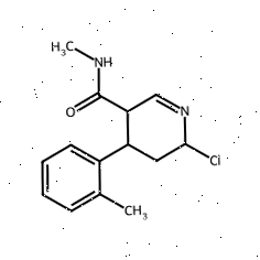 CNC(=O)C1C=NC(Cl)CC1c1ccccc1C